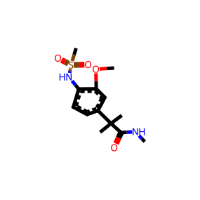 CNC(=O)C(C)(C)c1ccc(NS(C)(=O)=O)c(OC)c1